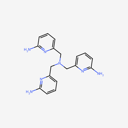 Nc1cccc(CN(Cc2cccc(N)n2)Cc2cccc(N)n2)n1